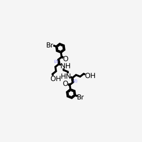 O=C(/C=C(/CCCO)NCCN/C(=C\C(=O)c1cccc(Br)c1)CCCO)c1cccc(Br)c1